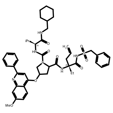 C=CC[C@@](CC)(NC(=O)C1CC(Oc2cc(-c3ccccc3)nc3cc(OC)ccc23)CN1C(=O)N[C@H](C(=O)NCC1CCCCC1)C(C)C)C(=O)NS(=O)(=O)Cc1ccccc1